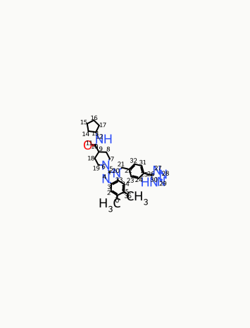 Cc1cc2nc(N3CCC(C(=O)NC4CCCC4)CC3)n(Cc3ccc(-c4nnn[nH]4)cc3)c2cc1C